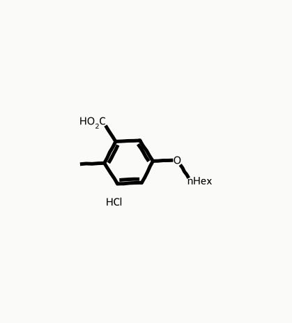 CCCCCCOc1ccc(C)c(C(=O)O)c1.Cl